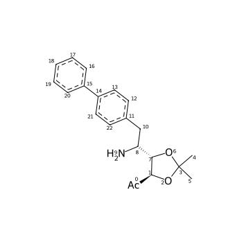 CC(=O)[C@@H]1OC(C)(C)O[C@H]1C(N)Cc1ccc(-c2ccccc2)cc1